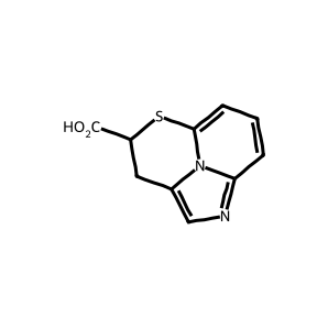 O=C(O)C1Cc2cnc3cccc(n23)S1